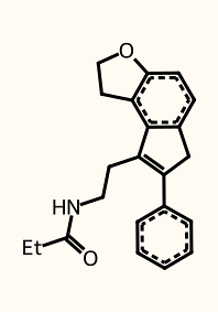 CCC(=O)NCCC1=C(c2ccccc2)Cc2ccc3c(c21)CCO3